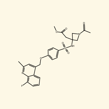 COC(=O)CC1(NS(=O)(=O)c2ccc(OCc3cc(C)nc4c(F)cccc34)cc2)CN(C(C)=O)C1